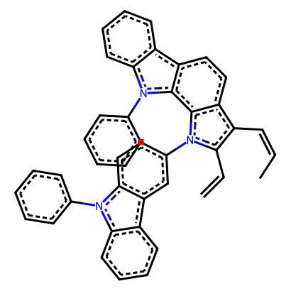 C=Cc1c(/C=C\C)c2ccc3c4ccccc4n(-c4ccccc4)c3c2n1-c1ccc2c(c1)c1ccccc1n2-c1ccccc1